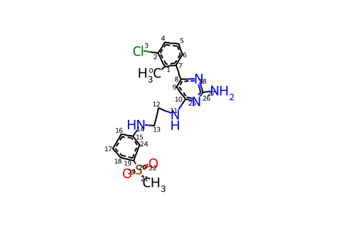 Cc1c(Cl)cccc1-c1cc(NCCNc2cccc(S(C)(=O)=O)c2)nc(N)n1